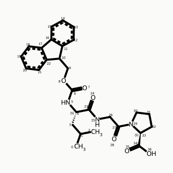 CC(C)C[C@H](NC(=O)OCC1c2ccccc2-c2ccccc21)C(=O)NCC(=O)N1CCC[C@H]1C(=O)O